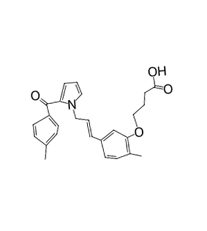 Cc1ccc(C(=O)c2cccn2C/C=C/c2ccc(C)c(OCCCC(=O)O)c2)cc1